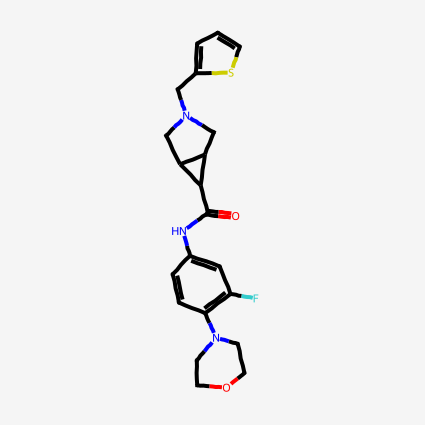 O=C(Nc1ccc(N2CCOCC2)c(F)c1)C1C2CN(Cc3cccs3)CC21